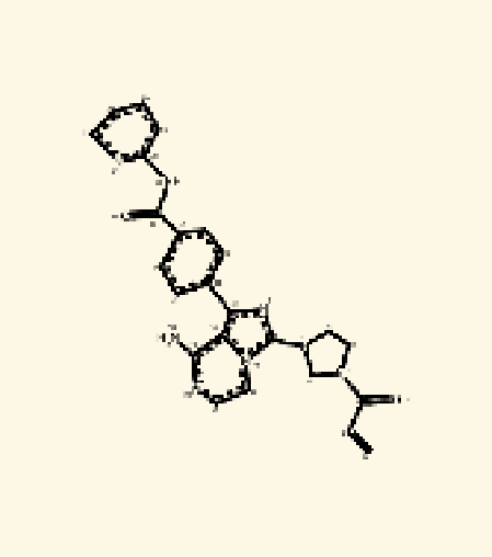 C=CC(=O)N1CCN(c2nc(-c3ccc(C(=O)Nc4ccccn4)cc3)c3c(N)nccn23)C1